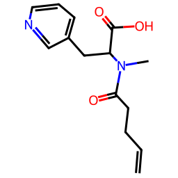 C=CCCC(=O)N(C)C(Cc1cccnc1)C(=O)O